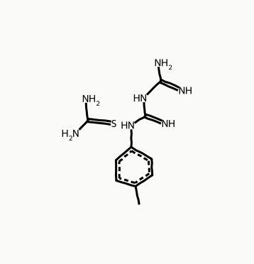 Cc1ccc(NC(=N)NC(=N)N)cc1.NC(N)=S